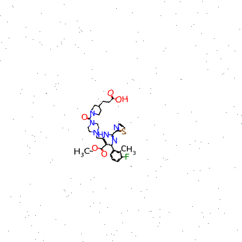 CCOC(=O)C1=C(CN2CCN(C(=O)N3CCC(CCC(=O)O)CC3)CC2)NC(c2nccs2)=NC1c1cccc(F)c1C